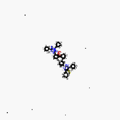 c1ccc(-c2nc(-c3ccccc3)nc(-c3cccc4c3oc3cccc(-c5cccc(-c6nc(-c7ccccc7)c7sc8ccccc8c7n6)c5)c34)n2)cc1